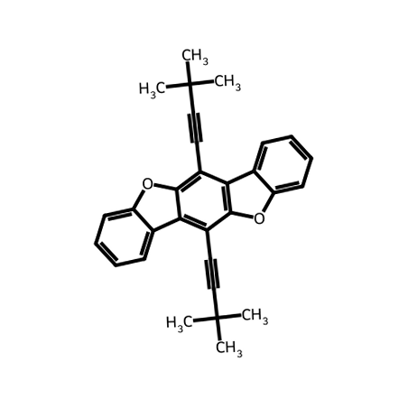 CC(C)(C)C#Cc1c2oc3ccccc3c2c(C#CC(C)(C)C)c2oc3ccccc3c12